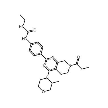 CCNC(=O)Nc1ccc(-c2nc3c(c(N4CCOCC4C)n2)CCN(C(=O)CC)C3)cc1